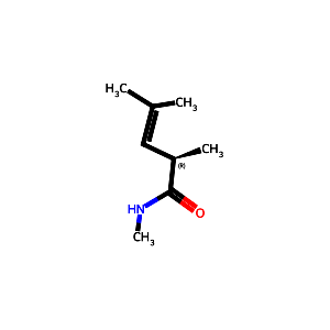 CNC(=O)[C@H](C)C=C(C)C